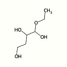 CCOC(O)C(O)CCO